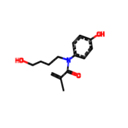 C=C(C)C(=O)N(CCCCO)c1ccc(O)cc1